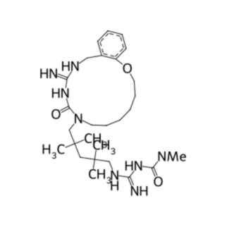 CNC(=O)NC(=N)NCC(C)(C)CC(C)(C)CN1CCCCCCOc2ccccc2CNC(=N)NC1=O